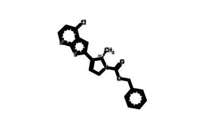 C[C@H]1C(c2cc3c(Cl)ccnc3s2)=CCN1C(=O)OCc1ccccc1